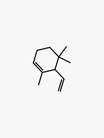 C=[C]C1C(C)=CCCC1(C)C